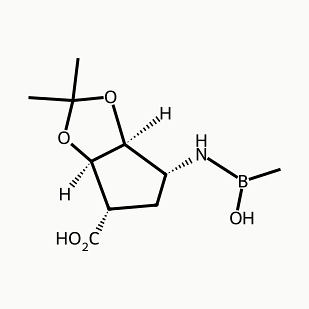 CB(O)N[C@@H]1C[C@H](C(=O)O)[C@H]2OC(C)(C)O[C@H]21